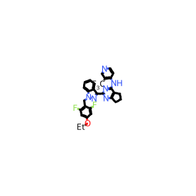 CCOc1cc(F)c(Cn2nc(-c3nc4c(c(Nc5ccncc5C(F)(F)F)n3)CCC4)c3ccccc32)c(F)c1